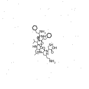 CC(C)CC(NC(=O)C(NC(=O)C(Cc1ccccc1)NC(=O)C(N)Cc1ccccc1)C(C)C)C(=O)NC(CCCCN)C(=O)NC(CS)C(=O)O